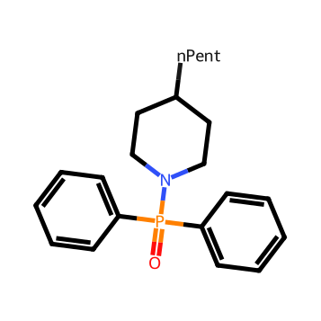 CCCCCC1CCN(P(=O)(c2ccccc2)c2ccccc2)CC1